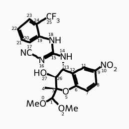 COC(OC)[C@@]1(C)Oc2ccc([N+](=O)[O-])cc2[C@@H](NC(=NC#N)Nc2ccccc2C(F)(F)F)[C@@H]1O